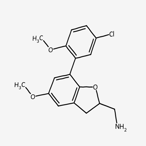 COc1cc2c(c(-c3cc(Cl)ccc3OC)c1)OC(CN)C2